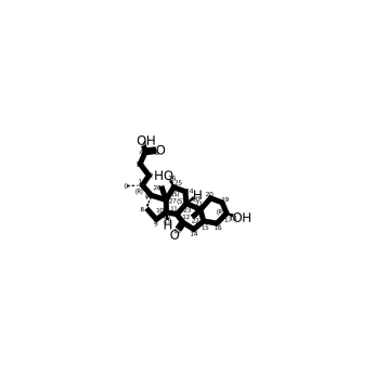 C[C@H](CCC(=O)O)[C@H]1CC[C@H]2C3C(=O)CC4C[C@H](O)CCC4(C)[C@H]3C[C@H](O)C12C